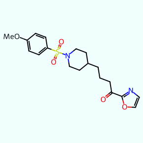 COc1ccc(S(=O)(=O)N2CCC(CCCC(=O)c3ncco3)CC2)cc1